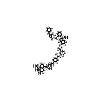 O=C(N[C@@H]1CCCN(C(=O)COc2cccc([C@](O)(C(=O)OCC3CCN(Cc4ccccc4)CC3)c3ccccc3)c2)C1)c1ccc(CCNC[C@H](O)c2ccc(O)c3[nH]c(=O)ccc23)cc1